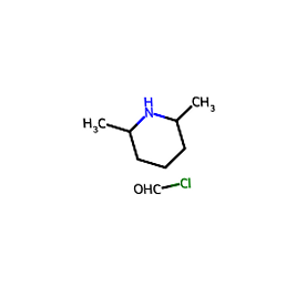 CC1CCCC(C)N1.O=CCl